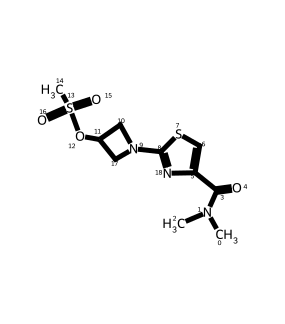 CN(C)C(=O)c1csc(N2CC(OS(C)(=O)=O)C2)n1